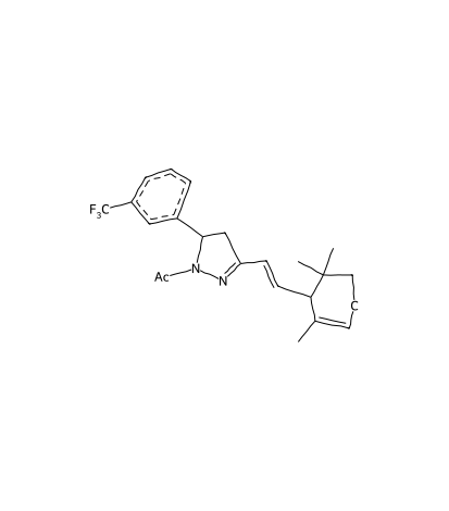 CC(=O)N1N=C(/C=C/C2C(C)=CCCC2(C)C)CC1c1cccc(C(F)(F)F)c1